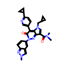 CN(C)C(=O)c1cn(CC2CC2)c2c(-c3ccc(C4CC4)nc3)c(=O)n(-c3ccc4nn(C)cc4c3)nc12